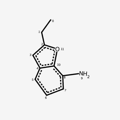 CCc1cc2cccc(N)c2o1